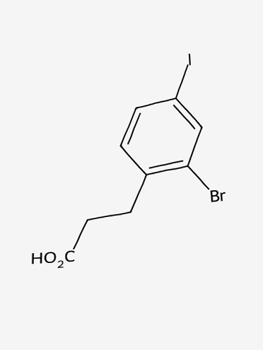 O=C(O)CCc1ccc(I)cc1Br